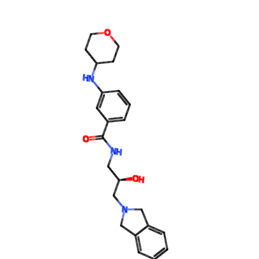 O=C(NC[C@@H](O)CN1Cc2ccccc2C1)c1cccc(NC2CCOCC2)c1